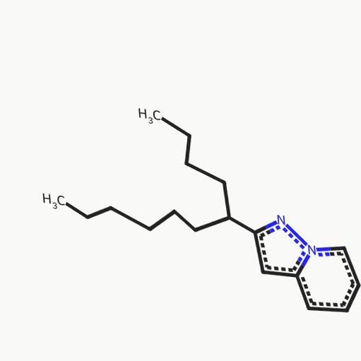 CCCCCCC(CCCC)c1cc2ccccn2n1